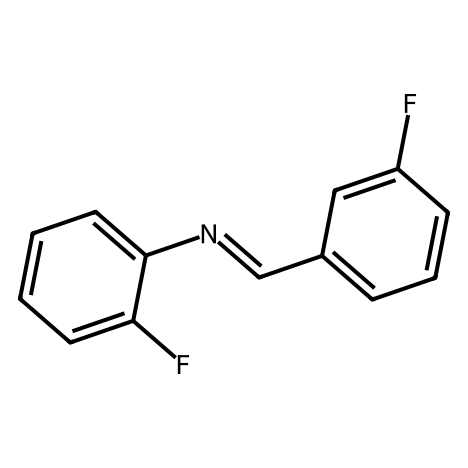 Fc1cccc(C=Nc2ccccc2F)c1